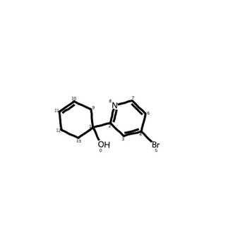 OC1(c2cc(Br)ccn2)CC=CCC1